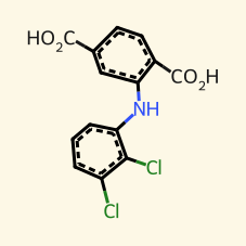 O=C(O)c1ccc(C(=O)O)c(Nc2cccc(Cl)c2Cl)c1